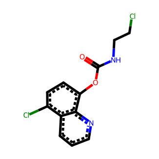 O=C(NCCCl)Oc1ccc(Cl)c2cccnc12